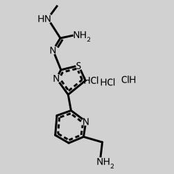 CN/C(N)=N/c1nc(-c2cccc(CN)n2)cs1.Cl.Cl.Cl